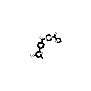 Cc1cc(C(F)(F)F)cc(-c2ccc(C(=O)N3CCN(C(=O)C4CCCO4)CC3)cc2)n1